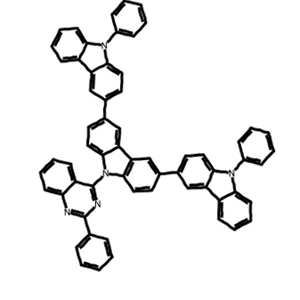 c1ccc(-c2nc(-n3c4ccc(-c5ccc6c(c5)c5ccccc5n6-c5ccccc5)cc4c4cc(-c5ccc6c(c5)c5ccccc5n6-c5ccccc5)ccc43)c3ccccc3n2)cc1